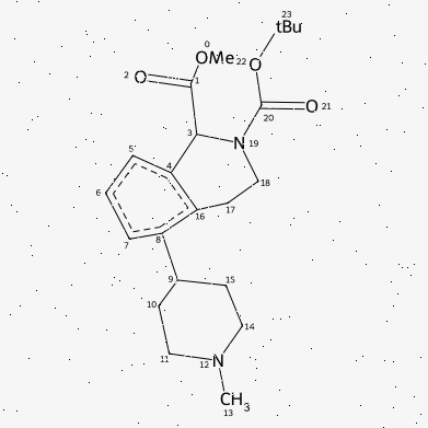 COC(=O)C1c2cccc(C3CCN(C)CC3)c2CCN1C(=O)OC(C)(C)C